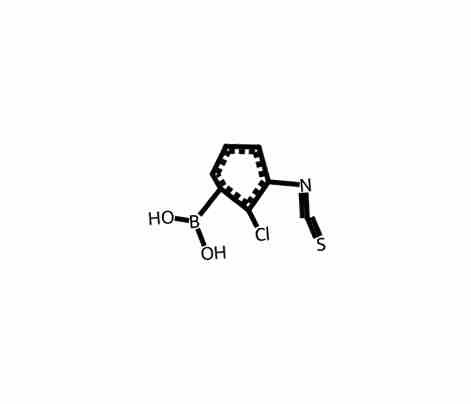 OB(O)c1cccc(N=C=S)c1Cl